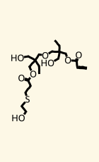 C=CC(=O)OCC(CC)(CO)COCC(CC)(CO)COC(=O)CCSCCO